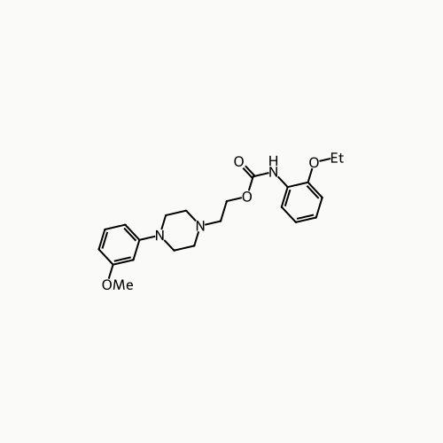 CCOc1ccccc1NC(=O)OCCN1CCN(c2cccc(OC)c2)CC1